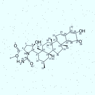 COC(=O)[C@@H]1C[C@@H](O)C(C2C[C@H](C)C[C@@H]3[C@@]2(C)CC[C@]2(C)C4=CC=C5C(=CC(=O)C(O)=C5C)[C@]4(C)CC[C@@]32C)N1C(N)=O